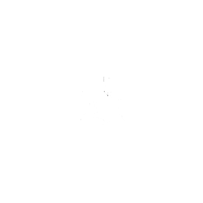 CC[n+]1ccccc1C.[I-]